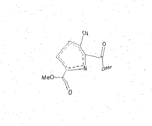 COC(=O)c1ccc(C#N)c(C(=O)OC)n1